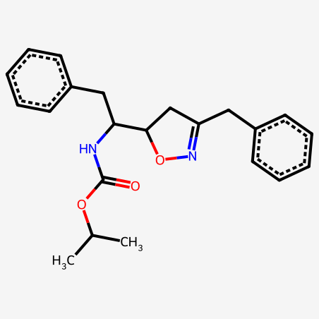 CC(C)OC(=O)NC(Cc1ccccc1)C1CC(Cc2ccccc2)=NO1